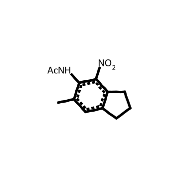 CC(=O)Nc1c(C)cc2c(c1[N+](=O)[O-])CCC2